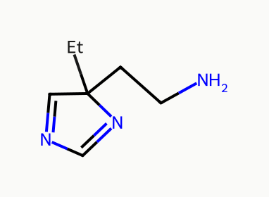 CCC1(CCN)C=NC=N1